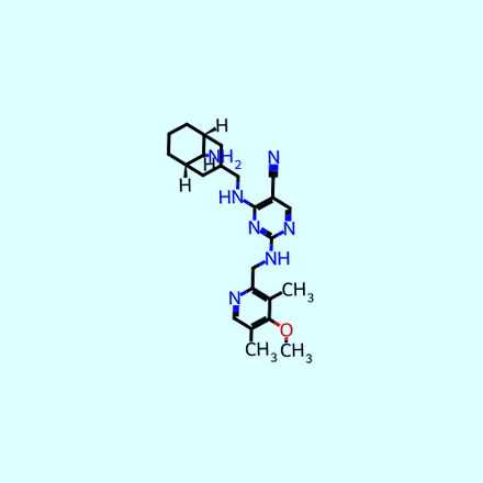 COc1c(C)cnc(CNc2ncc(C#N)c(NCC3C[C@H]4CCC[C@@H](C3)[C@@H]4N)n2)c1C